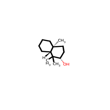 CC1(C)[C@@H](O)CC[C@]2(C)CCCC[C@@H]12